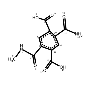 CNC(=O)c1cc(C(=O)O)c(C(N)=O)cc1C(=O)O